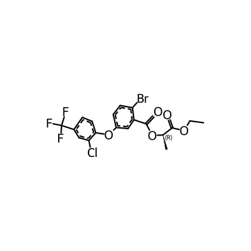 CCOC(=O)[C@@H](C)OC(=O)c1cc(Oc2ccc(C(F)(F)F)cc2Cl)ccc1Br